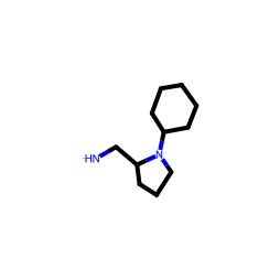 [NH]CC1CCCN1C1CCCCC1